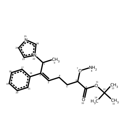 CC(C(=CCCC(ON)C(=O)OC(C)(C)C)c1ccccc1)n1ccnc1